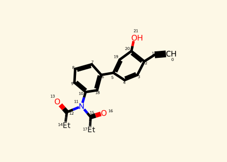 C#Cc1ccc(-c2cccc(N(C(=O)CC)C(=O)CC)c2)cc1O